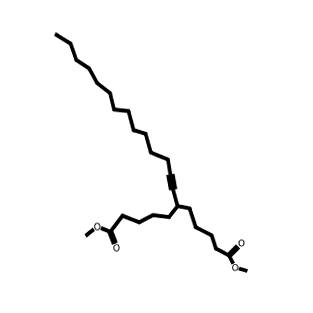 CCCCCCCCCCCCC#CC(CCCCC(=O)OC)CCCCC(=O)OC